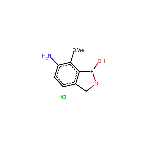 COc1c(N)ccc2c1B(O)OC2.Cl